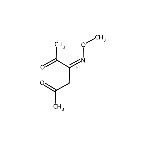 CO/N=C(/CC(C)=O)C(C)=O